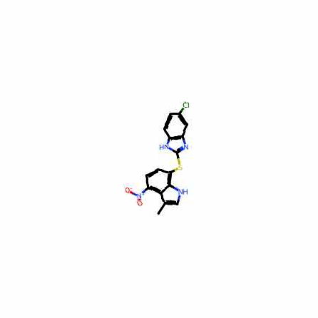 Cc1c[nH]c2c(Sc3nc4cc(Cl)ccc4[nH]3)ccc([N+](=O)[O-])c12